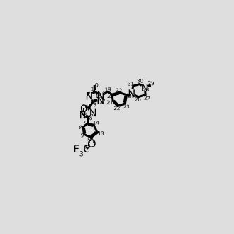 Cc1nc(-c2nc(-c3ccc(OC(F)(F)F)cc3)no2)nn1Cc1cccc(N2CCN(C)CC2)c1